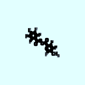 Cc1c(F)cc(C(=O)OOC(=O)c2c(F)c(F)c(F)c(F)c2F)c(F)c1F